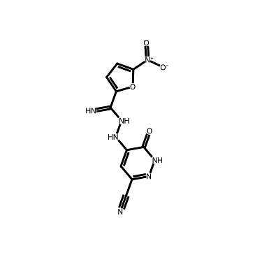 N#Cc1cc(NNC(=N)c2ccc([N+](=O)[O-])o2)c(=O)[nH]n1